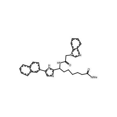 CNC(=O)CCCCCC(NC(=O)Cn1cnc2ccccc21)c1ncc(-c2ccc3ccccc3c2)[nH]1